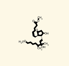 COCCCCC(C)C(C)(O)/C=C/[C@H]1[C@H](O)CC(=O)[C@@H]1C/C=C\CCCC(=O)OC